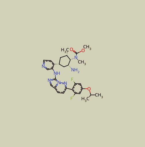 COC(=O)N(C)[C@@H]1[C@H](N)C[C@H](c2ccncc2Nc2ncc3ccc(-c4c(F)cc(OC(C)C)cc4F)nn23)C[C@@H]1C